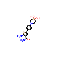 NC(=O)c1cc(-c2ccc(N3CCS(O)(O)CC3)cc2)sc1N